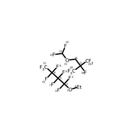 CCOC(F)(F)C(F)(F)C(F)(F)C(F)(F)F.FC(F)OCC(F)(C(F)(F)F)C(F)(F)F